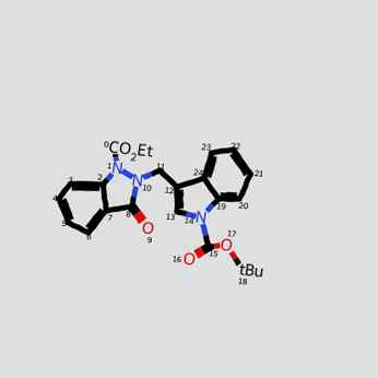 CCOC(=O)n1c2ccccc2c(=O)n1Cc1cn(C(=O)OC(C)(C)C)c2ccccc12